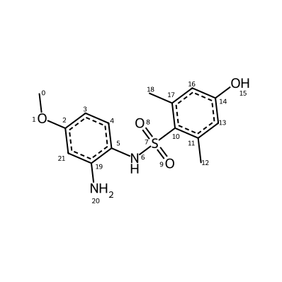 COc1ccc(NS(=O)(=O)c2c(C)cc(O)cc2C)c(N)c1